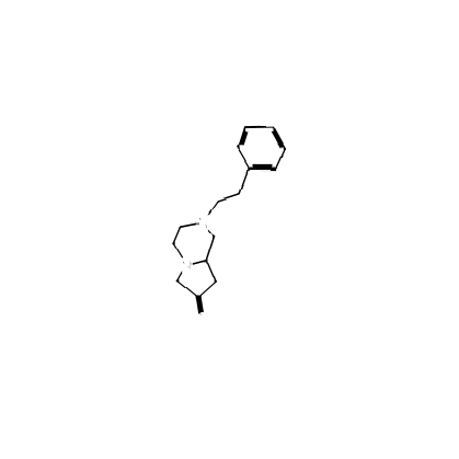 O=C1CC2CN(CCc3ccccc3)CCN2C1